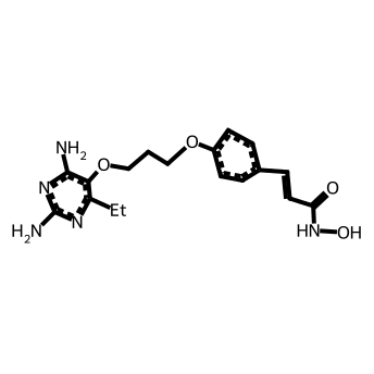 CCc1nc(N)nc(N)c1OCCCOc1ccc(C=CC(=O)NO)cc1